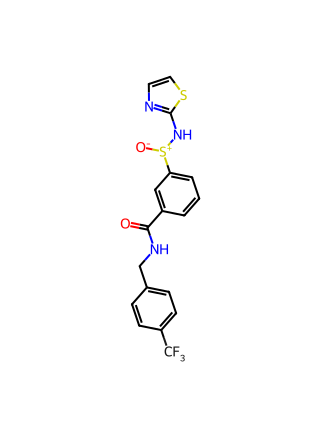 O=C(NCc1ccc(C(F)(F)F)cc1)c1cccc([S+]([O-])Nc2nccs2)c1